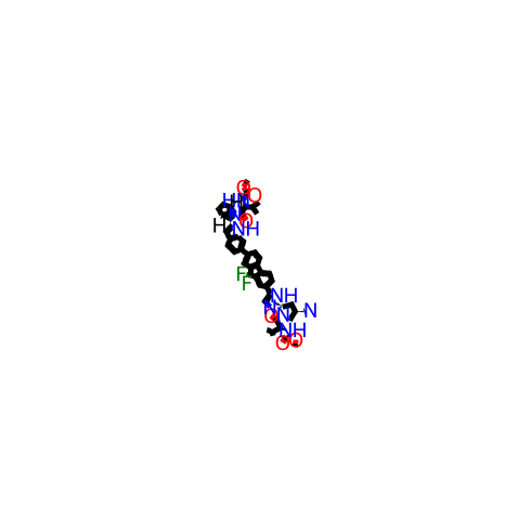 COC(=O)N[C@H](C(=O)N1C[C@@H](C#N)C[C@H]1c1ncc(-c2ccc3c(c2)C(F)(F)c2cc(-c4ccc5cc([C@@H]6[C@H]7CC[C@H](C7)N6C(=O)[C@@H](NC(=O)OC)C(C)C)[nH]c5c4)ccc2-3)[nH]1)C(C)C